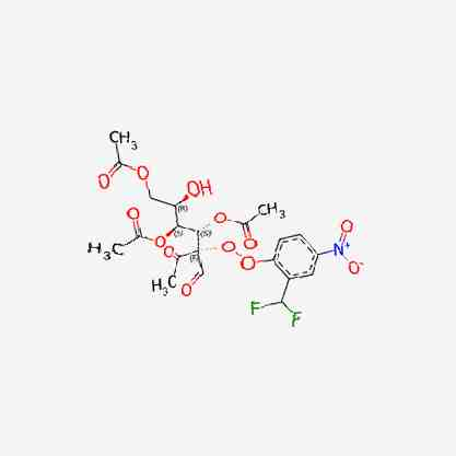 CC(=O)OC[C@@H](O)[C@H](OC(C)=O)[C@H](OC(C)=O)[C@](C=O)(OOc1ccc([N+](=O)[O-])cc1C(F)F)C(C)=O